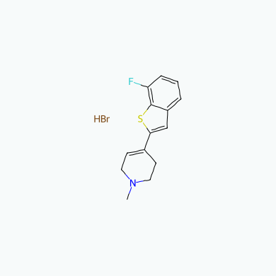 Br.CN1CC=C(c2cc3cccc(F)c3s2)CC1